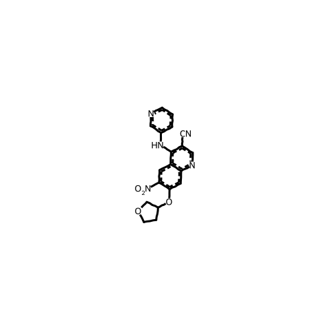 N#Cc1cnc2cc(OC3CCOC3)c([N+](=O)[O-])cc2c1Nc1cccnc1